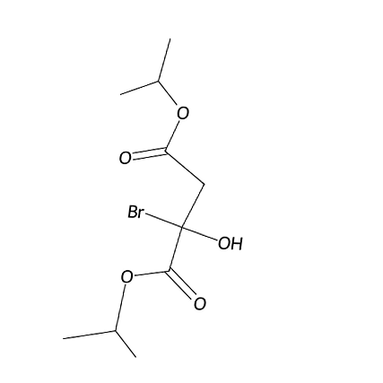 CC(C)OC(=O)CC(O)(Br)C(=O)OC(C)C